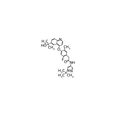 Cc1cc(CC(=O)Nc2cnn(C(C)(C)C)c2)c(F)cc1Oc1ccnc2ccc(C(C)(C)O)cc12